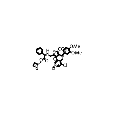 COc1ccc([C@H](Cc2c(Cl)c[n+]([O-])cc2Cl)c2cc(CNC(C(=O)OC[C@H]3CCN3C)c3ccccc3)sc2C(=O)O)cc1OC